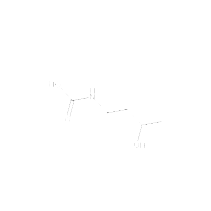 CC(O)CCNC(=O)O